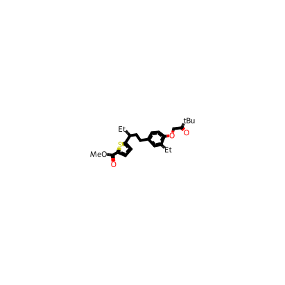 CCc1cc(CCC(CC)c2ccc(C(=O)OC)s2)ccc1OCC(=O)C(C)(C)C